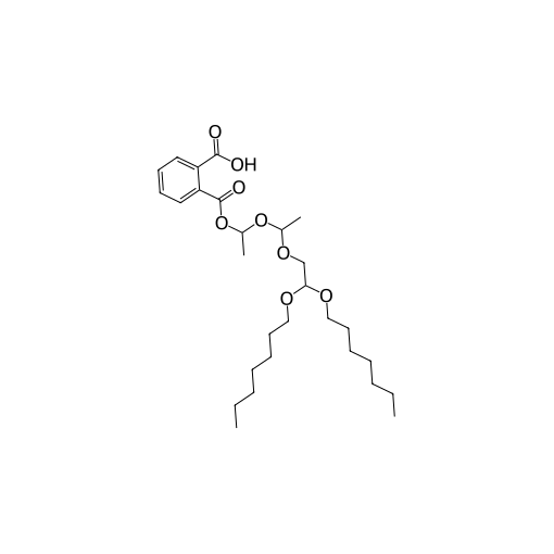 CCCCCCCOC(COC(C)OC(C)OC(=O)c1ccccc1C(=O)O)OCCCCCCC